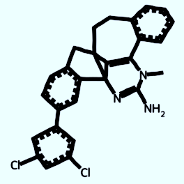 CN1C(N)=NC23C4=C1c1ccccc1CCC42Cc1ccc(-c2cc(Cl)cc(Cl)c2)cc13